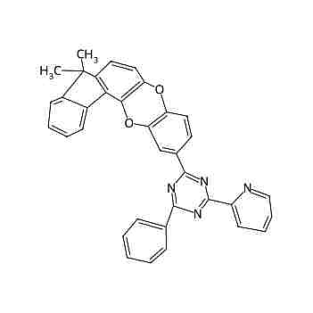 CC1(C)c2ccccc2-c2c1ccc1c2Oc2cc(-c3nc(-c4ccccc4)nc(-c4ccccn4)n3)ccc2O1